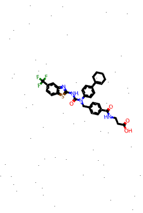 O=C(O)CCNC(=O)c1ccc(CN(C(=O)Nc2nc3cc(C(F)(F)F)ccc3s2)c2ccc(C3=CCCCC3)cc2)cc1